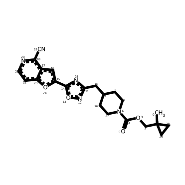 CC1(COC(=O)N2CCC(Cc3noc(-c4cc5c(C#N)nccc5o4)n3)CC2)CC1